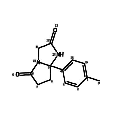 Cc1ccc(C23CCC(=O)N2CC(=O)N3)cc1